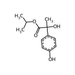 CC(C)OC(=O)C(C)(O)c1ccc(O)cc1